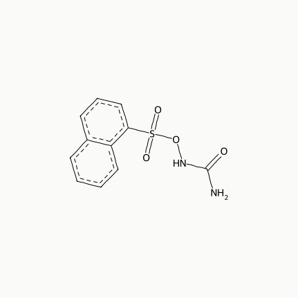 NC(=O)NOS(=O)(=O)c1cccc2ccccc12